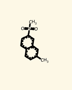 Cc1ccc2ccc(S(C)(=O)=O)cc2c1